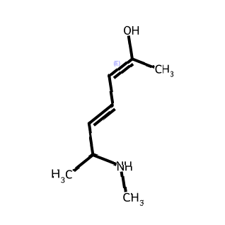 CNC(C)C=C/C=C(\C)O